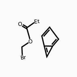 CCC(=O)OCBr.c1cc2cc-2c1